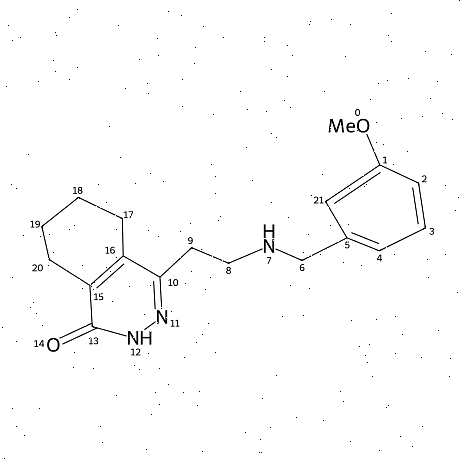 COc1cccc(CNCCc2n[nH]c(=O)c3c2CCCC3)c1